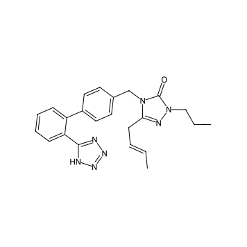 C/C=C/Cc1nn(CCC)c(=O)n1Cc1ccc(-c2ccccc2-c2nnn[nH]2)cc1